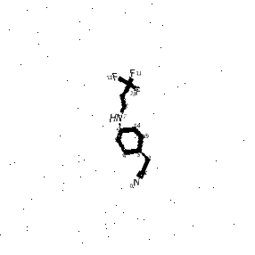 N#CC[C@H]1CC[C@H](NCCC(F)(F)F)CC1